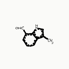 Cc1c[nH]c2c(C=O)cccc12